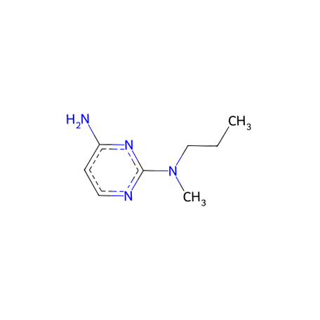 CCCN(C)c1nccc(N)n1